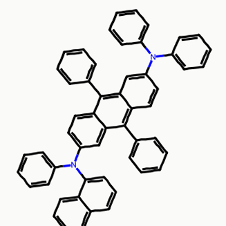 c1ccc(-c2c3ccc(N(c4ccccc4)c4cccc5ccccc45)cc3c(-c3ccccc3)c3ccc(N(c4ccccc4)c4ccccc4)cc23)cc1